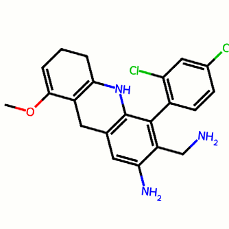 COC1=CCCC2=C1Cc1cc(N)c(CN)c(-c3ccc(Cl)cc3Cl)c1N2